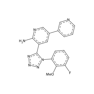 COc1c(F)cccc1-n1nnnc1-c1cc(-c2cccnc2)cnc1N